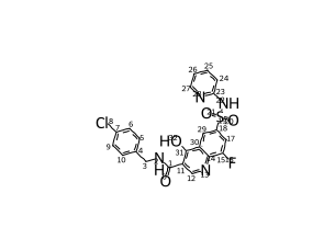 O=C(NCc1ccc(Cl)cc1)c1cnc2c(F)cc(S(=O)(=O)Nc3ccccn3)cc2c1O